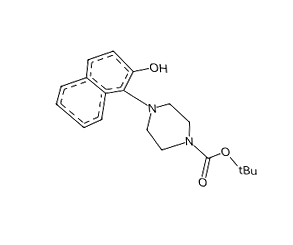 CC(C)(C)OC(=O)N1CCN(c2c(O)ccc3ccccc23)CC1